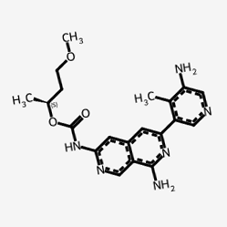 COCC[C@H](C)OC(=O)Nc1cc2cc(-c3cncc(N)c3C)nc(N)c2cn1